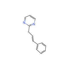 [CH](C=Cc1ccccc1)c1ncccn1